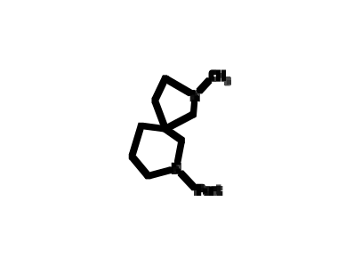 CCCC(C)N1CCCC2(CCN(C)C2)C1